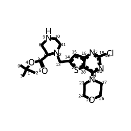 CC(C)(C)OC(=O)C1CNCCN1Cc1cc2nc(Cl)nc(N3CCOCC3)c2s1